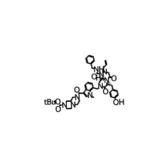 C=CCN1CC(=O)N2[C@@H](Cc3ccc(O)cc3)C(=O)N(Cc3cccc4c(C(=O)N5CCN6CCN(C(=O)OC(C)(C)C)CC6C5)cn(C)c34)C[C@@H]2N1C(=O)NCc1ccccc1